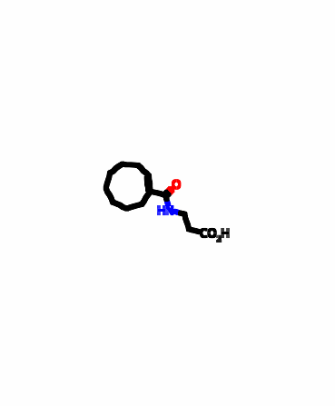 O=C(O)CCNC(=O)/C1=C/CCCCCCC1